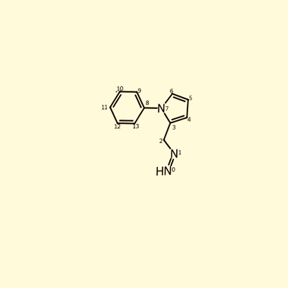 N=NCc1cccn1-c1c[c]ccc1